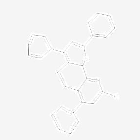 Clc1cc(-c2ccccc2)c2ccc3c(-c4ccccc4)cc(-c4ccccc4)nc3c2n1